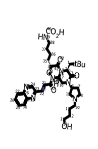 CC(C)(C)C[C@H]1C(=O)N(C2CCN(CCCCO)C2)C[C@@H]2N(C(=O)/C=C/c3cnc4ccccc4n3)O[C@H](CCCCNC(=O)O)C(=O)N21